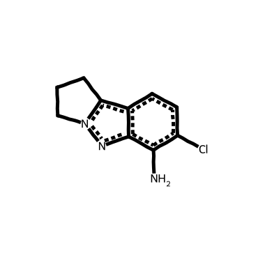 Nc1c(Cl)ccc2c3n(nc12)CCC3